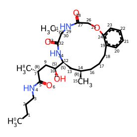 CCCCNC(=O)[C@H](C)C[C@H](O)[C@@H]1C[C@H](C)CCCc2ccccc2OCC(=O)N[C@@H](C)C(=O)N1